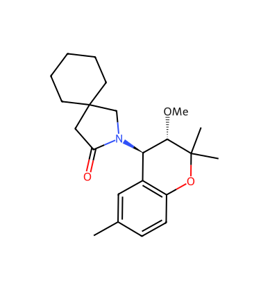 CO[C@H]1[C@H](N2CC3(CCCCC3)CC2=O)c2cc(C)ccc2OC1(C)C